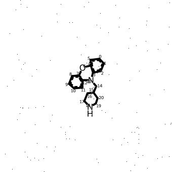 c1ccc2c(c1)Oc1ccccc1N2CC1CCNCC1